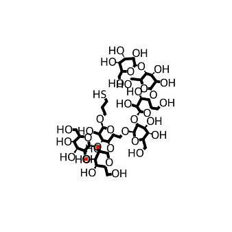 OCC1O[C@@H](O[C@@H]2C(CO[C@@H]3OC(CO)[C@@H](O)[C@H](O)C3O[C@@H]3OC(CO)[C@@H](O[C@@H]4OC(CO)[C@H](O[C@H]5OC(CO)[C@H](O)[C@H](O)C5O)[C@H](O)C4O)[C@H](O)C3O)O[C@H](OCCCS)C(O)[C@H]2O[C@@H]2OC(CO)[C@@H](O)[C@H](O)C2O)C(O)[C@@H](O)[C@@H]1O